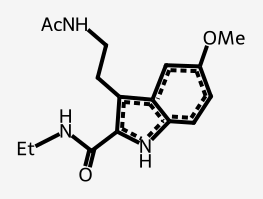 CCNC(=O)c1[nH]c2ccc(OC)cc2c1CCNC(C)=O